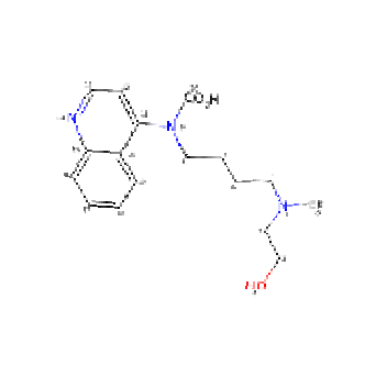 CCN(CCO)CCCCN(C(=O)O)c1ccnc2ccccc12